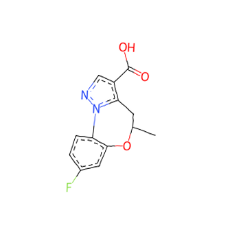 CC1Cc2c(C(=O)O)cnn2-c2ccc(F)cc2O1